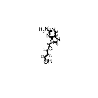 Nc1ncc2ncn(COCCCO)c2n1